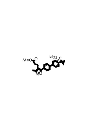 CCOC(=O)C1(c2ccc(-c3ccc(-c4onc(C)c4CCC(=O)OC)cc3)cc2)CC1